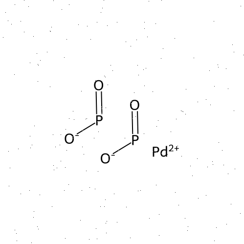 O=P[O-].O=P[O-].[Pd+2]